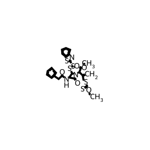 C=C(CSC(=S)OCC)C(C(=O)OC)N1C(=O)C(NC(=O)Cc2ccccc2)C1SSc1nc2ccccc2s1